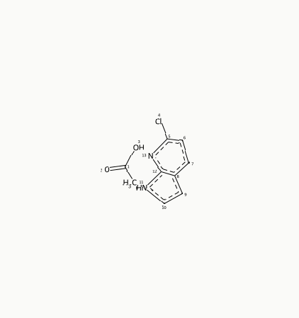 CC(=O)O.Clc1ccc2cc[nH]c2n1